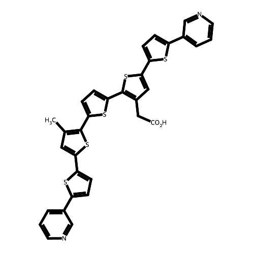 Cc1cc(-c2ccc(-c3cccnc3)s2)sc1-c1ccc(-c2sc(-c3ccc(-c4cccnc4)s3)cc2CC(=O)O)s1